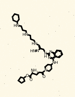 N=N/C(=C\NCCCNCCCNC1CCCCC1)CNc1nc(NC2CCN(C(=O)CC[C@H](N)C(=O)OC3CCCC3)CC2)c2ccccc2n1